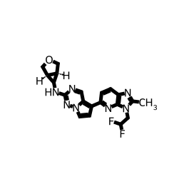 Cc1nc2ccc(-c3ccn4nc(NC5[C@H]6COC[C@@H]56)ncc34)nc2n1CC(F)F